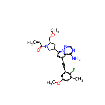 C=CC(=O)N1CC(c2cc(C#Cc3cc(OC)cc(C)c3F)c3c(N)ncnn23)C[C@@H]1COC